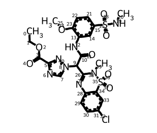 CCOC(=O)c1ncn(C(C(=O)Nc2cc(S(=O)(=O)NC)ccc2OC)C2=Nc3ccc(Cl)cc3S(=O)(=O)N2C)n1